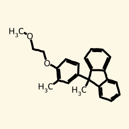 COCCOc1ccc(C2(C)c3ccccc3-c3ccccc32)cc1C